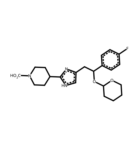 O=C(O)N1CCC(c2nc(CC(OC3CCCCO3)c3ccc(F)cc3)c[nH]2)CC1